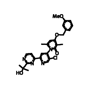 COc1cccc(COc2cc(C)n(-c3cc(-c4ccnc(C(C)(C)O)n4)ncc3Cl)c(=O)c2C)c1